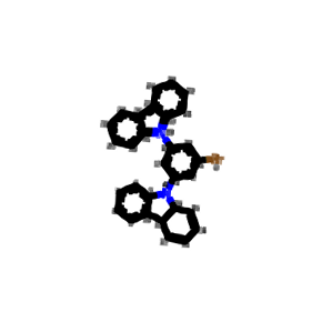 Brc1cc(N2c3ccccc3C3C=CC=CC32)cc(-n2c3ccccc3c3ccccc32)c1